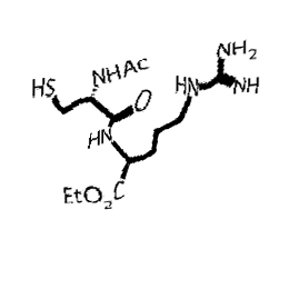 CCOC(=O)[C@H](CCCNC(=N)N)NC(=O)[C@H](CS)NC(C)=O